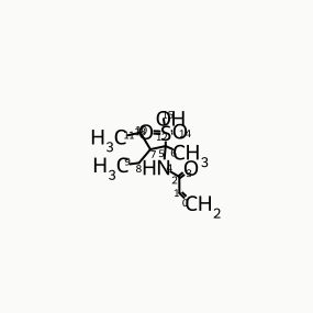 C=CC(=O)NC(C)(C(CC)CC)S(=O)(=O)O